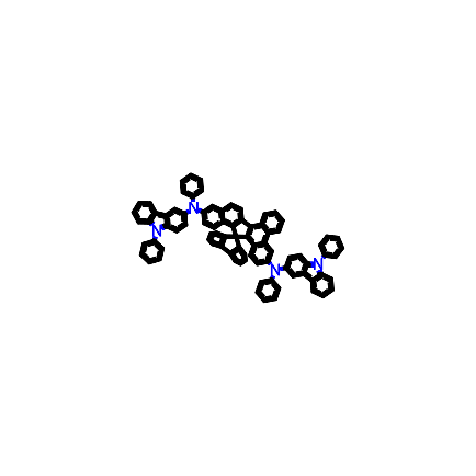 c1ccc(N(c2ccc3c4c(ccc3c2)-c2c(c3ccc(N(c5ccccc5)c5ccc6c(c5)c5ccccc5n6-c5ccccc5)cc3c3ccccc23)C42c3ccccc3-c3ccccc32)c2ccc3c(c2)c2ccccc2n3-c2ccccc2)cc1